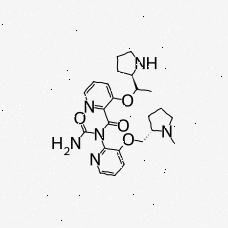 CC(Oc1cccnc1C(=O)N(C(N)=O)c1ncccc1OC[C@@H]1CCCN1C)[C@H]1CCCN1